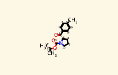 Cc1ccc(C(=O)[C@@H]2CCCN2C(=O)OC(C)C)cc1